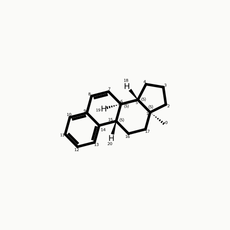 C[C@@]12CCC[C@H]1[C@@H]1C=Cc3ccccc3[C@H]1CC2